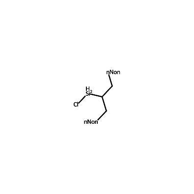 CCCCCCCCCCC(CCCCCCCCCC)[SiH2]Cl